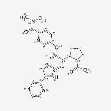 CC(=O)N1CCCC1c1cc2[nH]c(-c3cnccn3)cc2cc1Oc1ccc(C(=O)N(C)C)nc1